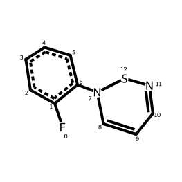 Fc1ccccc1N1C=CC=NS1